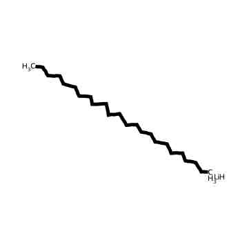 CCCCCCCCCCCCCCCCCCCCCCCC.[LiH]